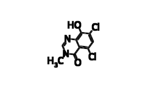 Cn1cnc2c(O)c(Cl)cc(Cl)c2c1=O